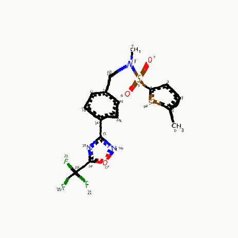 Cc1ccc(S(=O)(=O)N(C)Cc2ccc(-c3noc(C(F)(F)F)n3)cc2)s1